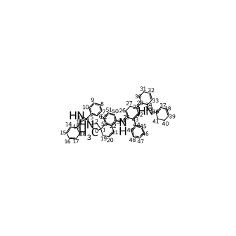 CC1(CNC2(c3ccccc3)N[C@@H]2C2C=CC=CC2)CC=Cc2c(NC3=CCC(C4CCC=CC4NC4=CC=CCC4)C=C3c3ccccc3)cccc21